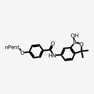 CCCCCOc1ccc(C(=O)Nc2ccc3c(c2)B(O)OC3(C)C)cc1